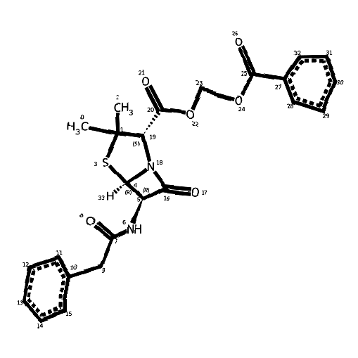 CC1(C)S[C@@H]2[C@H](NC(=O)Cc3ccccc3)C(=O)N2[C@H]1C(=O)OCOC(=O)c1ccccc1